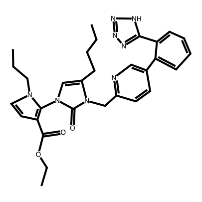 CCCCc1cn(-c2c(C(=O)OCC)ccn2CCC)c(=O)n1Cc1ccc(-c2ccccc2-c2nnn[nH]2)cn1